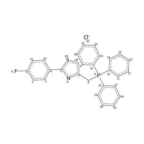 Fc1ccc(-c2nc(C[P+](c3ccccc3)(c3ccccc3)c3ccccc3)cs2)cc1.[Cl-]